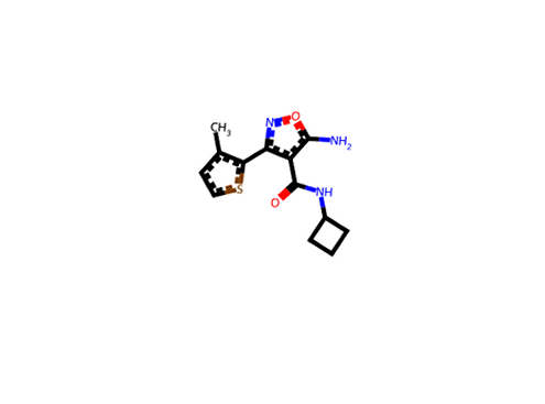 Cc1ccsc1-c1noc(N)c1C(=O)NC1CCC1